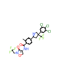 Cc1cc(C2=NCC(c3cc(Cl)c(Cl)c(Cl)c3)(C(F)(F)F)C2)ccc1C(=O)N[C@@H]1CON(CC(F)(F)F)C1=O